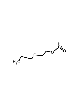 CCCOCCO[PH2]=O